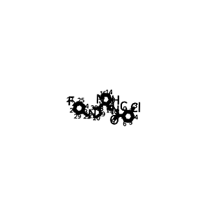 Cc1c(Cl)cccc1C(=O)NCc1cccnc1C1CCN(Cc2ccc(F)cc2)C1